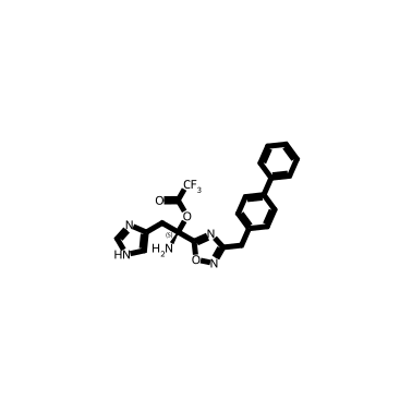 N[C@@](Cc1c[nH]cn1)(OC(=O)C(F)(F)F)c1nc(Cc2ccc(-c3ccccc3)cc2)no1